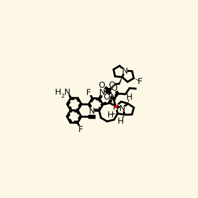 C#Cc1c(F)ccc2cc(N)cc(-c3nc4c5c(nc(OC[C@@]67CCCN6C[C@H](F)C7)nc5c3F)N3C[C@H]5CC[C@@H]([C@H]3CCC4)N5Cc3oc(=O)oc3CCC)c12